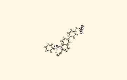 C[C@@H](Nc1c(C#N)nnc2cc(-c3ccc(C[SH](=O)=O)cc3)ccc12)c1ccccc1